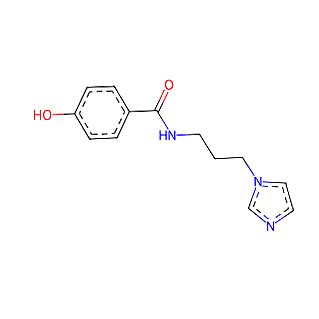 O=C(NCCCn1ccnc1)c1ccc(O)cc1